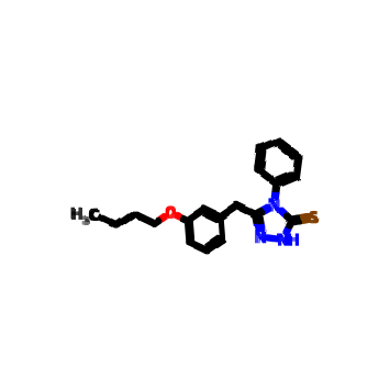 CCCCOc1cccc(Cc2n[nH]c(=S)n2-c2ccccc2)c1